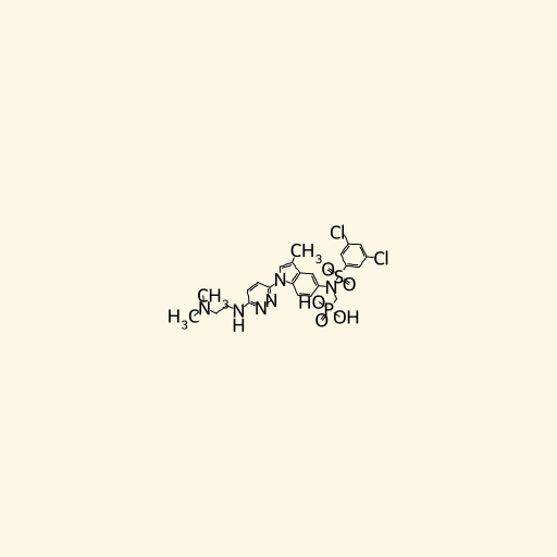 Cc1cn(-c2ccc(NCCN(C)C)nn2)c2ccc(N(CP(=O)(O)O)S(=O)(=O)c3cc(Cl)cc(Cl)c3)cc12